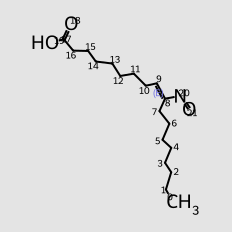 CCCCCCCC/C(=C\CCCCCCCC(=O)O)N=O